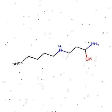 CCCCCCCCCCNCCC(N)O